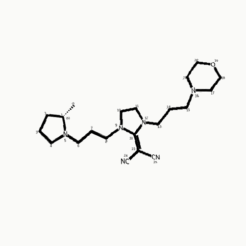 C[C@H]1CCCN1CCCN1CCN(CCCN2CCOCC2)C1=C(C#N)C#N